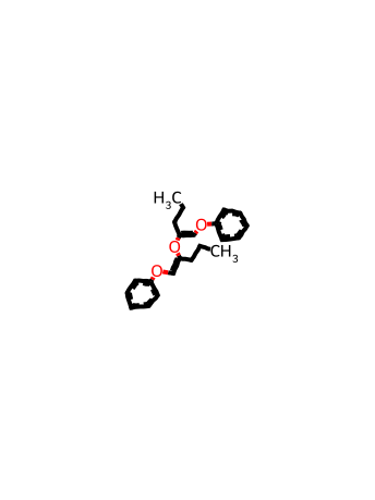 CCCC(=COc1ccccc1)OC(=COc1ccccc1)CCC